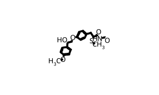 COc1ccc(C(O)COc2ccc(CC(SC)C(=O)NC=O)cc2)cc1